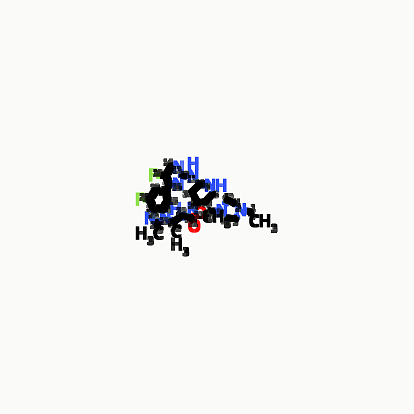 CCN1CCN(C[C@H]2CN[C@H](Nc3ncc(F)c(-c4cc(F)c5nc(C)n([C@H](C)CC(=O)OC)c5c4)n3)C[C@H]2N)CC1